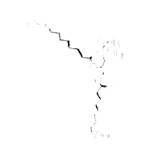 CCCCCCCCCCCCCC=CC=CC(=O)OC[C@H](COP(=O)(O)O)OC(=O)C=CC=CCCCCCCCCCCCCC